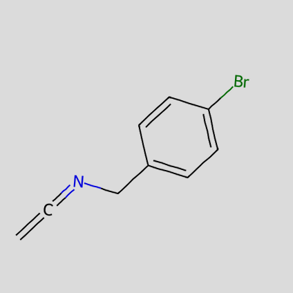 C=C=NCc1ccc(Br)cc1